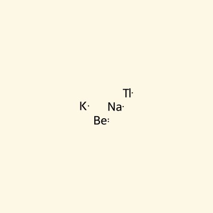 [Be].[K].[Na].[Tl]